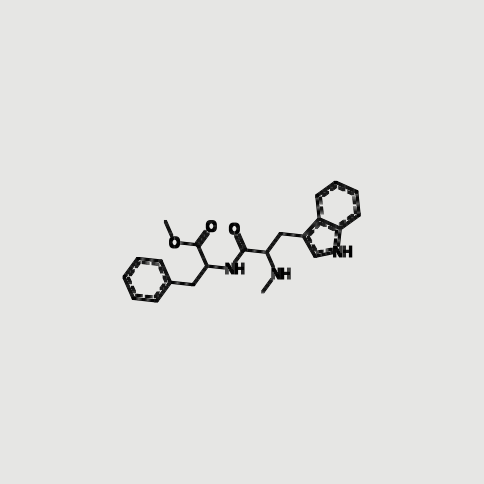 CNC(Cc1c[nH]c2ccccc12)C(=O)NC(Cc1ccccc1)C(=O)OC